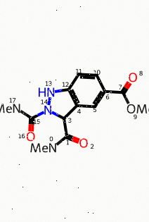 CNC(=O)C1c2cc(C(=O)OC)ccc2NN1C(=O)NC